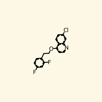 Fc1ccc(CCOc2ccnc3cc(Cl)ccc23)c(F)c1